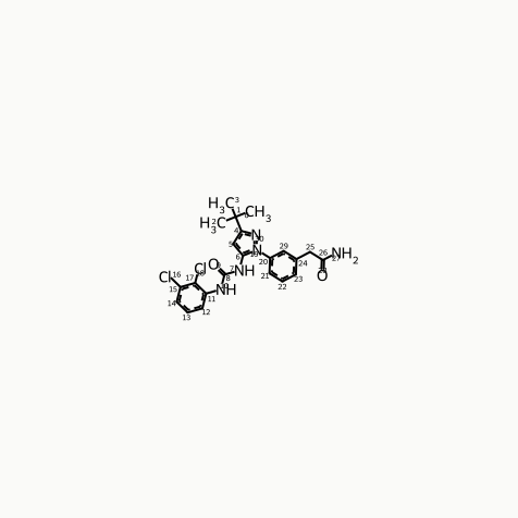 CC(C)(C)c1cc(NC(=O)Nc2cccc(Cl)c2Cl)n(-c2cccc(CC(N)=O)c2)n1